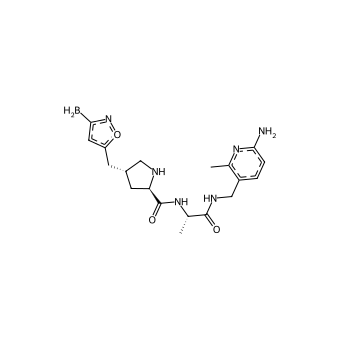 Bc1cc(C[C@@H]2CN[C@@H](C(=O)N[C@@H](C)C(=O)NCc3ccc(N)nc3C)C2)on1